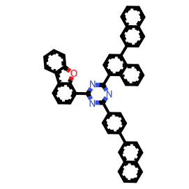 c1ccc2cc(-c3ccc(-c4nc(-c5ccc(-c6ccc7ccccc7c6)c6ccccc56)nc(-c5cccc6c5oc5ccccc56)n4)cc3)ccc2c1